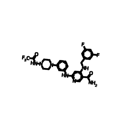 NC(=O)c1cnc(Nc2cccc(N3CCN(NC(=O)C(F)(F)F)CC3)c2)cc1NCc1cc(F)cc(F)c1